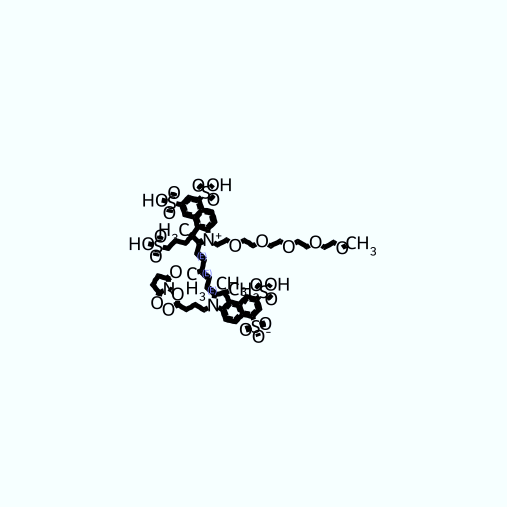 COCCOCCOCCOCCOCC[N+]1=C(/C=C/C(C)=C/C=C2/N(CCCC(=O)ON3C(=O)CCC3=O)c3ccc4c(S(=O)(=O)[O-])cc(S(=O)(=O)O)cc4c3C2(C)C)C(C)(CCCS(=O)(=O)O)c2c1ccc1c(S(=O)(=O)O)cc(S(=O)(=O)O)cc21